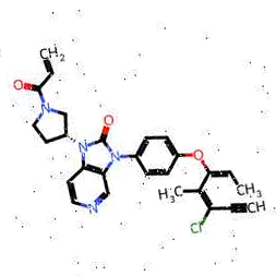 C#C/C(Cl)=C(C)\C(=C/C)Oc1ccc(-n2c(=O)n([C@@H]3CCN(C(=O)C=C)C3)c3ccncc32)cc1